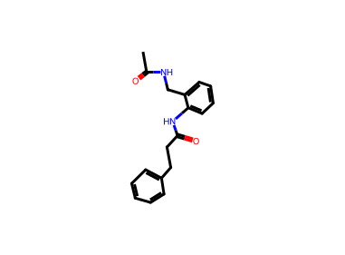 CC(=O)NCc1ccccc1NC(=O)CCc1ccccc1